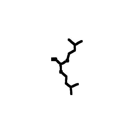 CC(C)CCOP(O)OCCC(C)C